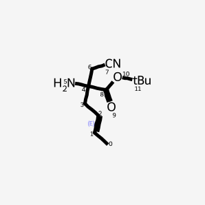 C/C=C/CC(N)(CC#N)C(=O)OC(C)(C)C